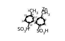 Cc1ccc(S(=O)(=O)O)cc1.Cc1ccc(S(=O)(=O)O)cc1.[Zn]